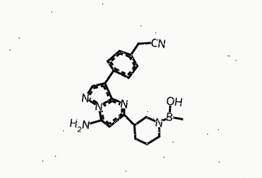 CB(O)N1CCCC(c2cc(N)n3ncc(-c4ccc(CC#N)cc4)c3n2)C1